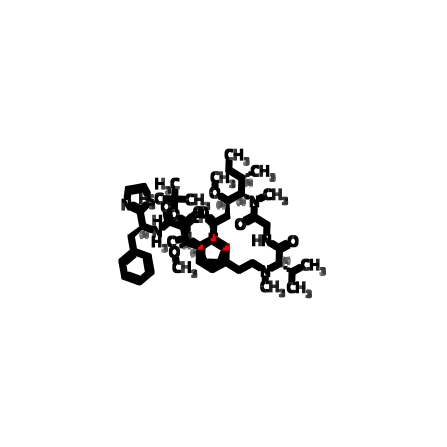 CC[C@H](C)[C@@H]([C@@H](CC(=O)N1CCC[C@H]1[C@H](OC)[C@@H](C)C(=O)N[C@@H](Cc1ccccc1)c1nccs1)OC)N(C)C(=O)CNC(=O)[C@H](C(C)C)N(C)CCc1ccc(N(C)C(=O)OC(C)(C)C)cc1